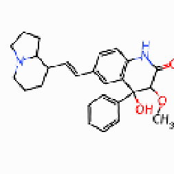 COC1C(=O)Nc2ccc(C=CC3CCCN4CCCC34)cc2C1(O)c1ccccc1